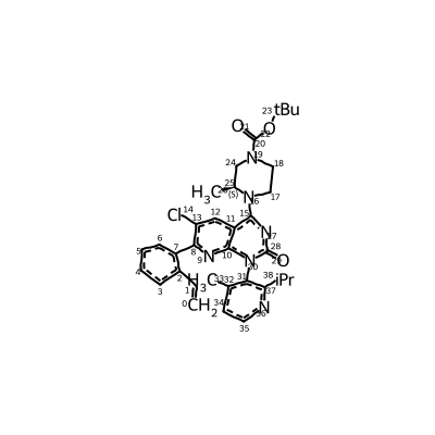 C=Cc1ccccc1-c1nc2c(cc1Cl)c(N1CCN(C(=O)OC(C)(C)C)C[C@@H]1C)nc(=O)n2-c1c(C)ccnc1C(C)C